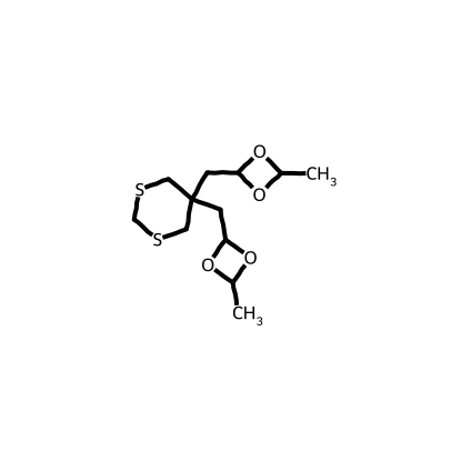 CC1OC(CC2(CC3OC(C)O3)CSCSC2)O1